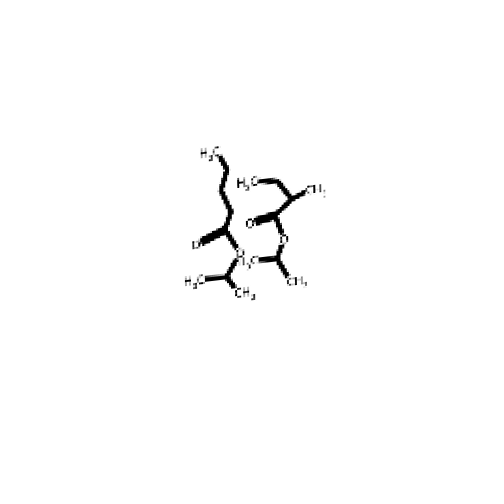 CCC(C)C(=O)OC(C)C.CCCCC(=O)OC(C)C